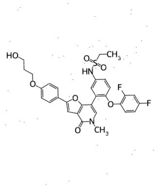 CCS(=O)(=O)Nc1ccc(Oc2ccc(F)cc2F)c(-c2cn(C)c(=O)c3cc(-c4ccc(OCCCO)cc4)oc23)c1